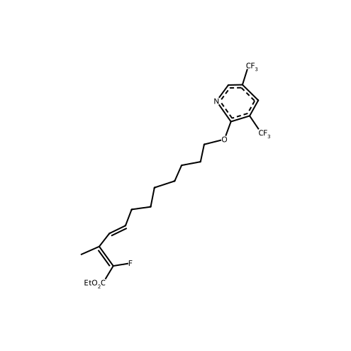 CCOC(=O)C(F)=C(C)C=CCCCCCCCOc1ncc(C(F)(F)F)cc1C(F)(F)F